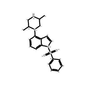 CC1CN(c2cccc3c2ccn3S(=O)(=O)c2ccccc2)C(C)CN1